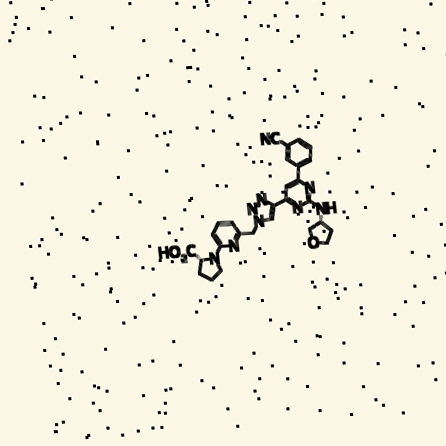 N#Cc1cccc(-c2cc(-c3cn(Cc4cccc(N5CCC[C@@H]5C(=O)O)n4)nn3)nc(N[C@@H]3CCOC3)n2)c1